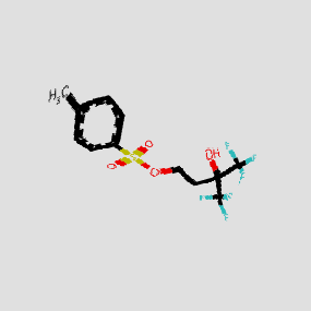 Cc1ccc(S(=O)(=O)OCCC(O)(C(F)(F)F)C(F)(F)F)cc1